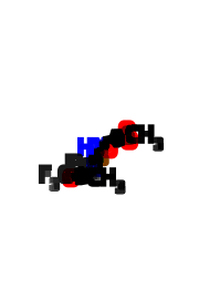 CC(C)C1c2nc(NC(=O)Cc3ccc(S(C)(=O)=O)cc3)sc2CN1[C@H](C)c1ccc(OC(F)(F)F)cc1